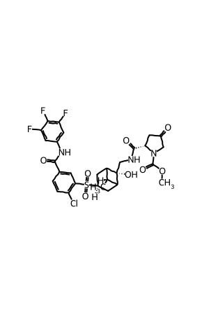 COC(=O)N1CC(=O)C[C@H]1C(=O)NC[C@]1(O)C2C[C@H](S(=O)(=O)c3cc(C(=O)Nc4cc(F)c(F)c(F)c4)ccc3Cl)CC1[C@@H]2C